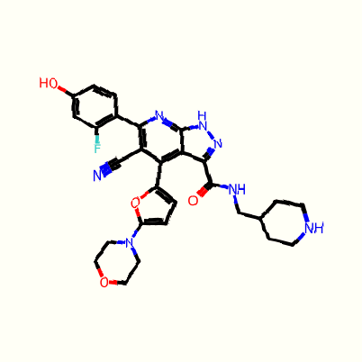 N#Cc1c(-c2ccc(O)cc2F)nc2[nH]nc(C(=O)NCC3CCNCC3)c2c1-c1ccc(N2CCOCC2)o1